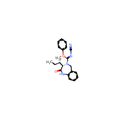 CC[C@H](C)[C@H]1C(=O)Nc2ccccc2CN1/C(=N/C#N)Oc1ccccc1